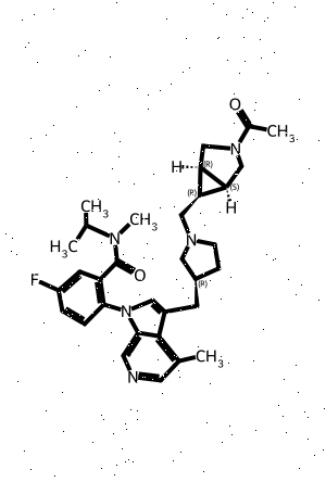 CC(=O)N1C[C@@H]2[C@H](CN3CC[C@@H](Cc4cn(-c5ccc(F)cc5C(=O)N(C)C(C)C)c5cncc(C)c45)C3)[C@@H]2C1